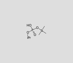 CC(C)OP(=O)(O)O[Si](C)(C)C